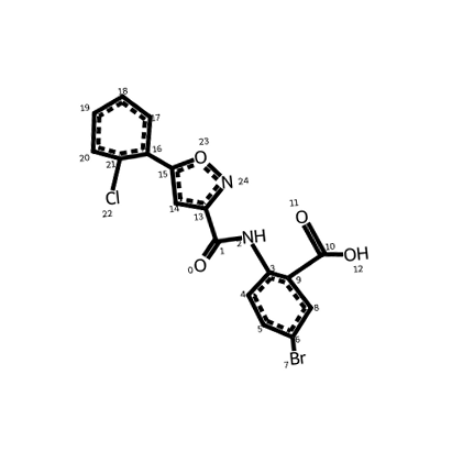 O=C(Nc1ccc(Br)cc1C(=O)O)c1cc(-c2ccccc2Cl)on1